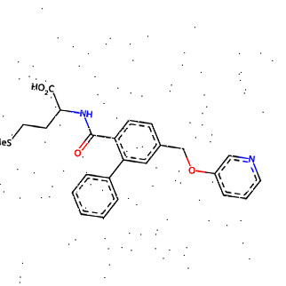 CSCCC(NC(=O)c1ccc(COc2cccnc2)cc1-c1ccccc1)C(=O)O